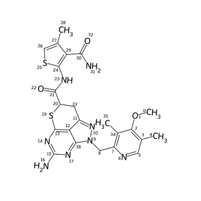 COc1c(C)cnc(Cn2nc3c4c(nc(N)nc42)SC(C(=O)Nc2scc(C)c2C(N)=O)C3)c1C